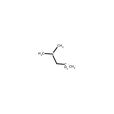 [CH2]CN(C)C.[CH3]